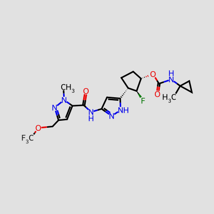 Cn1nc(COC(F)(F)F)cc1C(=O)Nc1cc([C@@H]2CC[C@H](OC(=O)NC3(C)CC3)[C@H]2F)[nH]n1